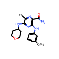 CCc1nc(C(N)=O)c(Nc2cccc(OC)c2)nc1NC1CCOCC1